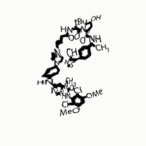 COc1cc(OC)c(Cl)c(NC(=O)N(C)c2cc(Nc3ccc(N4CCN(CCCC(=O)NC(C(=O)N5C[C@H](O)C[C@H]5C(=O)NC(C)c5ccc(-c6scnc6C)cc5)C(C)(C)C)CC4)cc3)ncn2)c1Cl